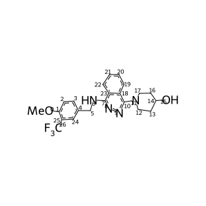 COc1ccc(CNc2nnc(N3CCC(O)CC3)c3ccccc23)cc1C(F)(F)F